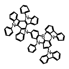 c1ccc(N2c3cc(-n4c5ccccc5c5c6c(c7ccccc7n6-c6ccccc6)c6c(c7ccccc7n6-c6ccccc6)c54)ccc3B3c4c2cc(-n2c5ccccc5c5ccccc52)cc4-n2c4ccccc4c4cccc3c42)cc1